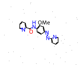 COc1cc(N=Nc2ccccn2)ccc1NC(=O)c1ccccn1